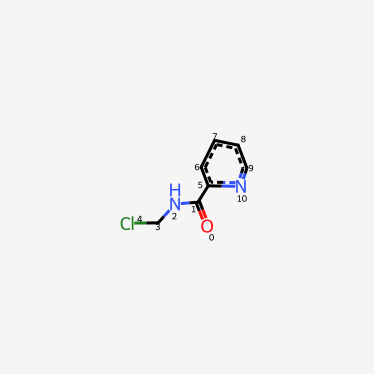 O=C(NCCl)c1ccccn1